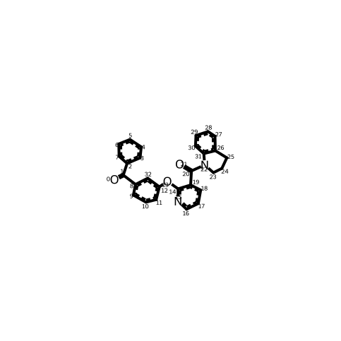 O=C(c1ccccc1)c1cccc(Oc2ncccc2C(=O)N2CCCc3ccccc32)c1